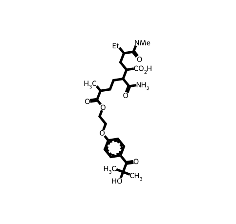 CCC(CC(C(=O)O)C(CCC(C)C(=O)OCCOc1ccc(C(=O)C(C)(C)O)cc1)C(N)=O)C(=O)NC